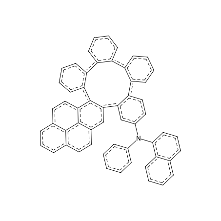 c1ccc(N(c2ccc3c4ccccc4c4ccccc4c4ccccc4c4c(cc5ccc6cccc7ccc4c5c67)c3c2)c2cccc3ccccc23)cc1